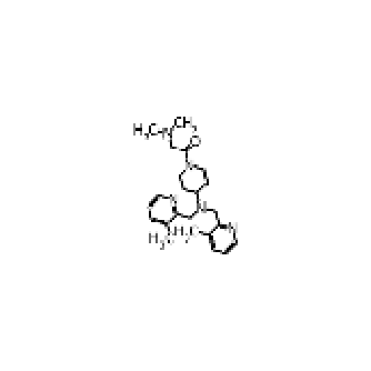 Cc1cccnc1CN(Cc1ncccc1C)C1CCN(C(=O)CN(C)C)CC1